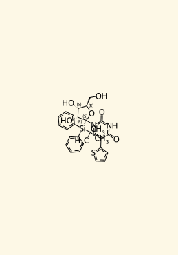 CC(C)(C)[Si](c1ccccc1)(c1ccccc1)[C@@]1(n2cc(-c3cccs3)c(=O)[nH]c2=O)O[C@H](CO)[C@@H](O)[C@H]1O